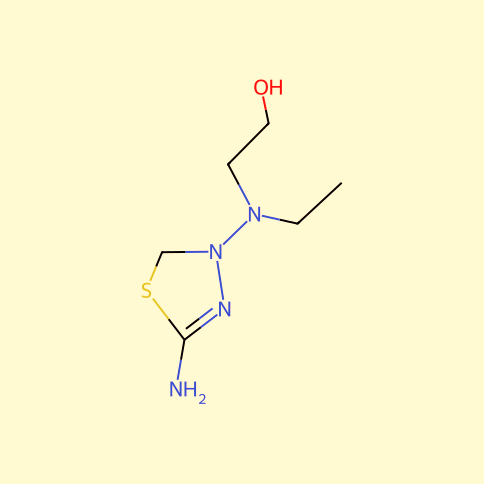 CCN(CCO)N1CSC(N)=N1